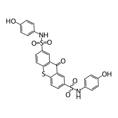 O=c1c2cc(S(=O)(=O)Nc3ccc(O)cc3)ccc2sc2ccc(S(=O)(=O)Nc3ccc(O)cc3)cc12